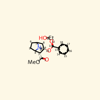 COC(=O)[C@@H]1C2CCC(C[C@@H]1OC(=O)c1ccccc1)N2C.[CH2]CO